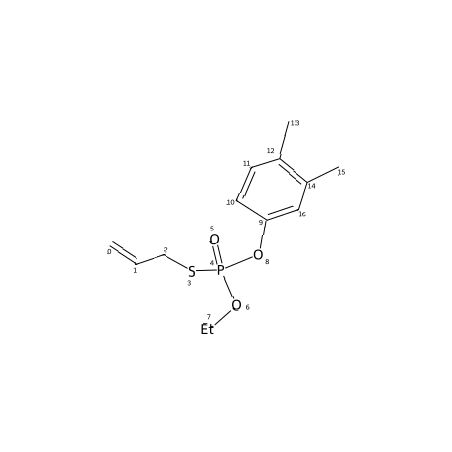 C=CCSP(=O)(OCC)Oc1ccc(C)c(C)c1